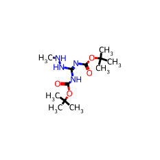 CNNC(=NC(=O)OC(C)(C)C)NC(=O)OC(C)(C)C